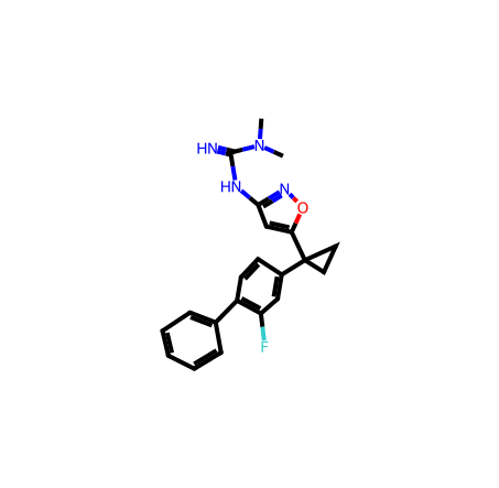 CN(C)C(=N)Nc1cc(C2(c3ccc(-c4ccccc4)c(F)c3)CC2)on1